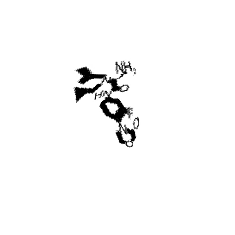 CC(C)CN(CC1CC1)[C@H](CN)C(=O)Nc1ccc(N2CCOCC2=O)c(F)c1